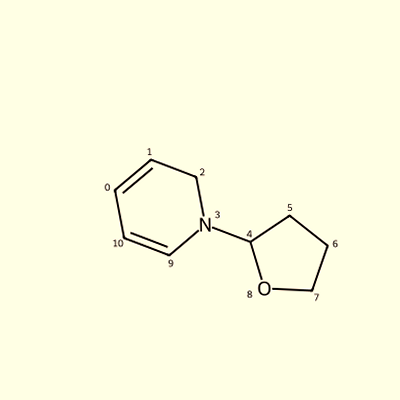 C1=CCN(C2CCCO2)C=C1